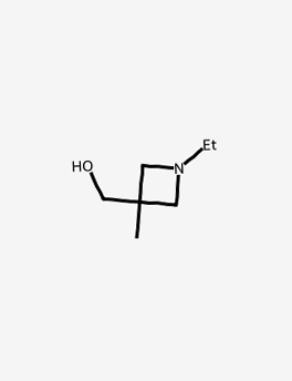 CCN1CC(C)(CO)C1